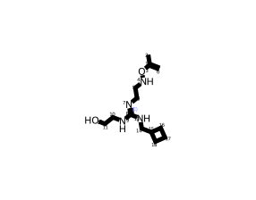 C=C(C)ONCC/N=C(/NCCO)NCC1CCC1